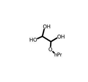 CCCOC(O)C(O)O